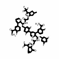 CC1Cc2c(C(F)(F)F)nn(CC(=O)N[C@@H](Cc3cc(F)c(-c4cnc([C@H](Cc5cc(F)cc(F)c5)NC(=O)Cn5nc(C(F)F)c6c5C(=O)C5CC65)c(-c5ccc(F)c(C(N)=O)c5)c4)c(F)c3)c3ncccc3-c3ccc(F)c(C(N)=O)c3)c2C1